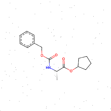 C[C@H](NC(=O)OCc1ccccc1)C(=O)OC1CCCC1